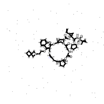 C=CC1C[C@]1(NC(=O)[C@@H]1C[C@@H]2CN1C(=O)[C@H](C1CCCC1)NC(=O)O[C@@H]1CCC[C@H]1CC/C=C/Cc1c(nc3ccccc3c1OCCN1CC3(CCC3)C1)O2)C(=O)NS(=O)(=O)C1(C)CC1